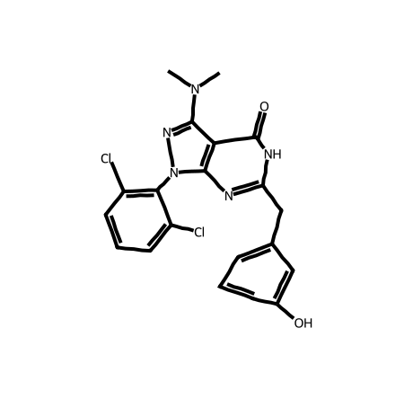 CN(C)c1nn(-c2c(Cl)cccc2Cl)c2nc(Cc3cccc(O)c3)[nH]c(=O)c12